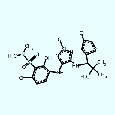 CN(C)S(=O)(=O)c1c(Cl)ccc(Nc2n[s+]([O-])nc2N[C@@H](c2cc(Cl)co2)C(C)(C)C)c1O